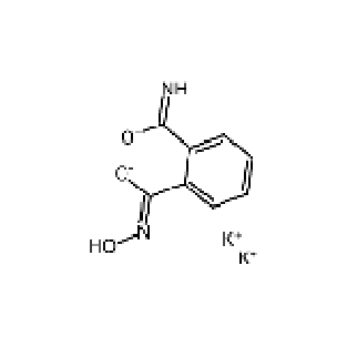 N=C([O-])c1ccccc1C([O-])=NO.[K+].[K+]